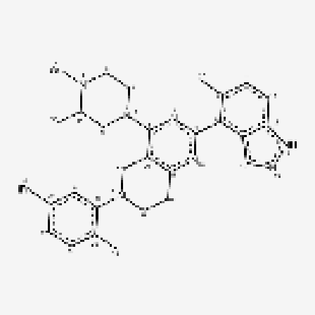 CC(=O)N1CCN(c2nc(-c3c(C)ccc4[nH]ncc34)nc3c2CN(c2cc(C(C)C)ccc2C)CC3)CC1C